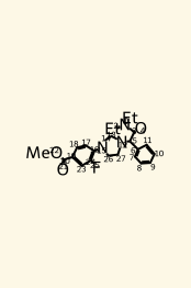 CCN(CC)C(=O)C(c1ccccc1)N1CCN(c2ccc(C(=O)OC)cc2F)CC1